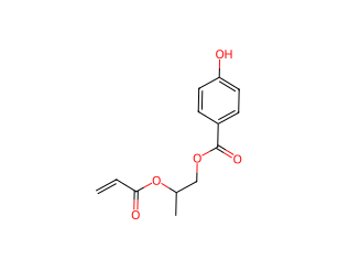 C=CC(=O)OC(C)COC(=O)c1ccc(O)cc1